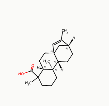 CC1=C[C@]23CC[C@H]4C(C)(C(=O)O)CCC[C@]4(C)[C@H]2CC[C@@H]1C3